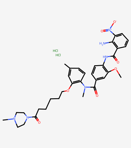 COc1cc(C(=O)N(C)c2ccc(C)cc2OCCCCCC(=O)N2CCN(C)CC2)ccc1NC(=O)c1cccc([N+](=O)[O-])c1N.Cl.Cl